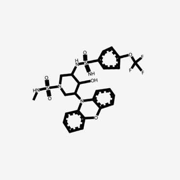 CNS(=O)(=O)N1CC(NS(=N)(=O)c2ccc(OC(F)(F)F)cc2)C(O)C(N2c3ccccc3Oc3ccccc32)C1